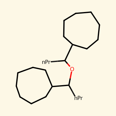 CCCC(OC(CCC)C1CCCCCCC1)C1CCCCCCC1